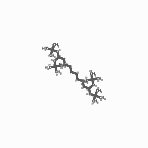 CC(C)(C)OC(C[SiH2]CCCC[SiH2]CC(OC(C)(C)C)OC(C)(C)C)OC(C)(C)C